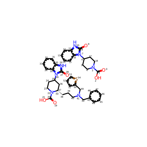 O=C(O)N1CCC(n2c(=O)[nH]c3ccccc32)CC1.O=C(O)N1CCC(n2c(=O)[nH]c3ccccc32)C[C@@H]1CCCN(Cc1ccccc1)Cc1cccs1